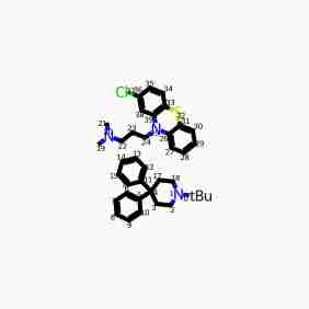 CC(C)(C)N1CCC(c2ccccc2)(c2ccccc2)CC1.CN(C)CCCN1c2ccccc2Sc2ccc(Cl)cc21